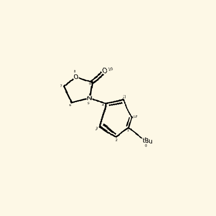 CC(C)(C)c1ccc(N2CCOC2=O)cc1